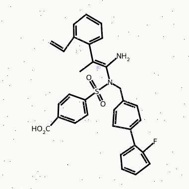 C=Cc1ccccc1/C(C)=C(\N)N(Cc1ccc(-c2ccccc2F)cc1)S(=O)(=O)c1ccc(C(=O)O)cc1